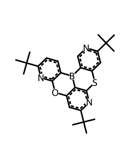 CC(C)(C)c1cc2c(cn1)B1c3ccc(C(C)(C)C)nc3Oc3cc(C(C)(C)C)nc(c31)S2